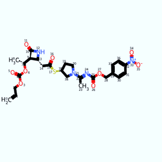 C=CCOC(=O)O[C@H](C)[C@H]1C(=O)N[C@@H]1CC(=O)S[C@H]1CCN(/C(C)=N/C(=O)OCc2ccc([N+](=O)[O-])cc2)C1